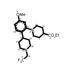 CCOC(=O)C1CCN(c2cc(OC)ccc2C2CCN(CC(F)(F)F)CC2)CC1